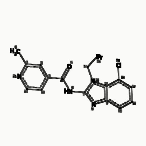 Cc1cc(C(=O)Nc2nc3cccc(Cl)c3n2CC(C)C)ccn1